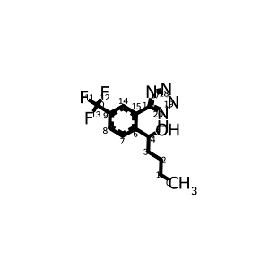 CCCCC(O)c1ccc(C(F)(F)F)cc1-c1nnn[nH]1